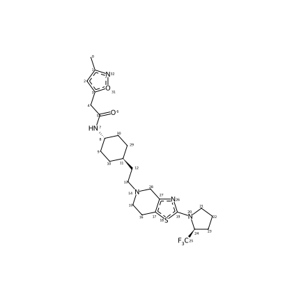 Cc1cc(CC(=O)N[C@H]2CC[C@H](CCN3CCc4sc(N5CCC[C@H]5C(F)(F)F)nc4C3)CC2)on1